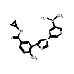 Cc1ccc(C(=O)NC2CC2)cc1-c1cn(-c2cncc(N(C)C)c2)cn1